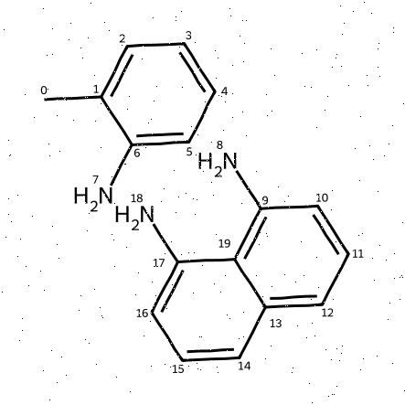 Cc1ccccc1N.Nc1cccc2cccc(N)c12